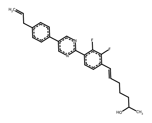 C=CCc1ccc(-c2cnc(-c3ccc(C=CCCCC(C)O)c(F)c3F)nc2)cc1